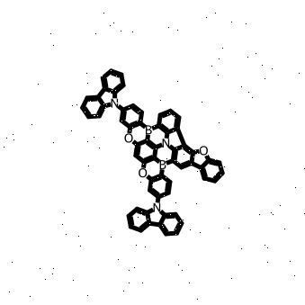 c1ccc2c(c1)oc1c2cc2c3c1c1cccc4c1n3-c1c3c(cc5c1B2c1ccc(-n2c6ccccc6c6ccccc62)cc1O5)Oc1cc(-n2c5ccccc5c5ccccc52)ccc1B34